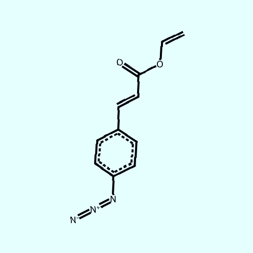 C=COC(=O)C=Cc1ccc(N=[N+]=[N-])cc1